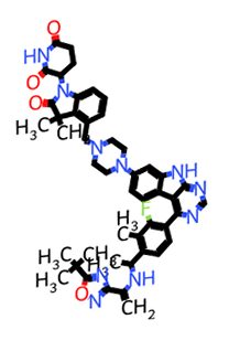 C=C(NC(C)c1ccc(-c2ncnc3[nH]c4cc(N5CCN(Cc6cccc7c6C(C)(C)C(=O)N7C6CCC(=O)NC6=O)CC5)ccc4c23)c(F)c1C)c1noc(C(C)(C)C)n1